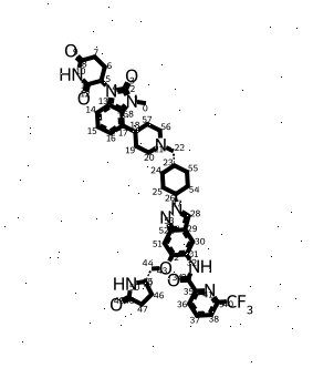 Cn1c(=O)n(C2CCC(=O)NC2=O)c2cccc(C3CCN(C[C@H]4CC[C@H](n5cc6cc(NC(=O)c7cccc(C(F)(F)F)n7)c(OC[C@@H]7CCC(=O)N7)cc6n5)CC4)CC3)c21